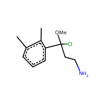 COC(Cl)(CCN)c1cccc(C)c1C